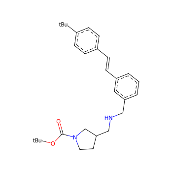 CC(C)(C)OC(=O)N1CCC(CNCc2cccc(C=Cc3ccc(C(C)(C)C)cc3)c2)C1